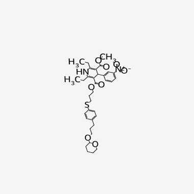 CCC1=C(C(=O)OC)C(c2cccc([N+](=O)[O-])c2)C(C(=O)OCCCSc2ccc(CCCOC3CCCCO3)cc2)=C(CC)N1